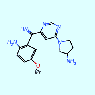 CC(C)Oc1ccc(N)c(C(=N)c2cc(N3CCC(N)C3)ncn2)c1